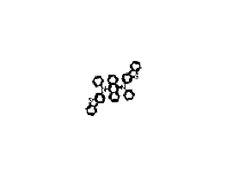 c1ccc(N(c2ccc3c(c2)sc2ccccc23)c2c3ccccc3c(N(c3ccccc3)c3ccc4c(c3)sc3ccccc34)c3ccccc23)cc1